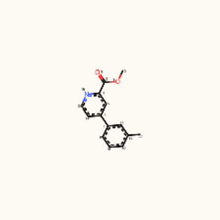 COC(=O)c1cc(-c2cccc(C)c2)ccn1